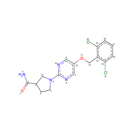 NC(=O)C1CCN(c2ncc(OCc3c(Cl)cccc3Cl)cn2)C1